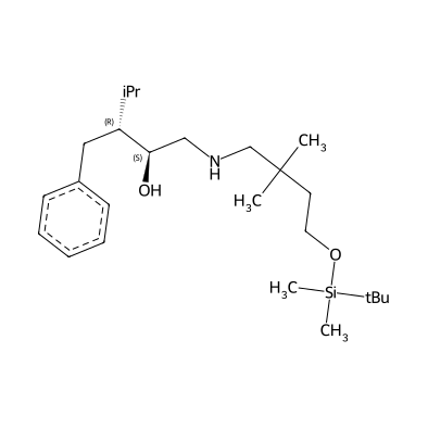 CC(C)[C@@H](Cc1ccccc1)[C@H](O)CNCC(C)(C)CCO[Si](C)(C)C(C)(C)C